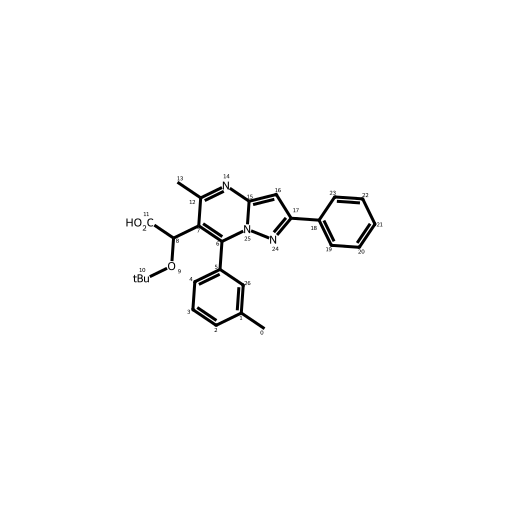 Cc1cccc(-c2c(C(OC(C)(C)C)C(=O)O)c(C)nc3cc(-c4ccccc4)nn23)c1